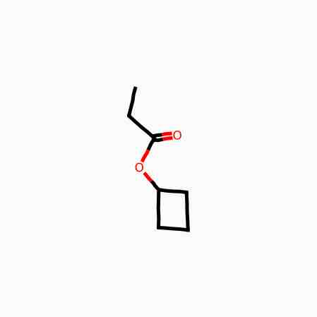 CCC(=O)OC1CCC1